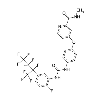 CNC(=O)c1cc(Oc2ccc(NC(=O)Nc3cc(C(F)(C(F)(F)F)C(F)(F)C(F)(F)F)ccc3F)cc2)ccn1